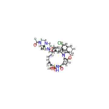 CO[C@@]1(CN2CCN3CCN(C(C)=O)C[C@H]3C2)/C=C/C[C@H](C)[C@@H](C)S(=O)(=O)NC(=O)c2ccc3c(c2)N(C[C@@H]2CC[C@H]21)C[C@@]1(CCCc2cc(Cl)ccc21)CO3